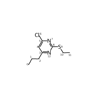 CCCc1cc(Cl)nc(SCC)n1